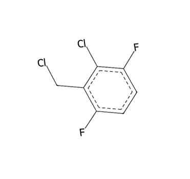 Fc1ccc(F)c(CCl)c1Cl